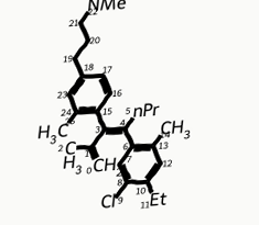 C=C(C)/C(=C(/CCC)c1cc(Cl)c(CC)cc1C)c1ccc(CCCNC)cc1C